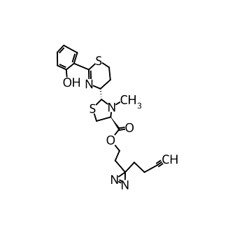 C#CCCC1(CCOC(=O)[C@H]2CS[C@H](C3CCSC(c4ccccc4O)=N3)N2C)N=N1